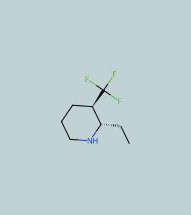 CC[C@@H]1NCCC[C@H]1C(F)(F)F